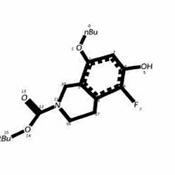 CCCCOc1cc(O)c(F)c2c1CN(C(=O)OC(C)(C)C)CC2